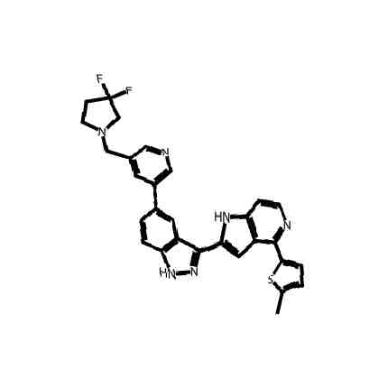 Cc1ccc(-c2nccc3[nH]c(-c4n[nH]c5ccc(-c6cncc(CN7CCC(F)(F)C7)c6)cc45)cc23)s1